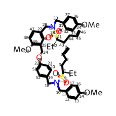 C=CCC[C@@H](CC)S(=O)(=O)N(Cc1ccc(OC)cc1)Cc1ccc(OCc2cc(CN(Cc3ccc(OC)cc3)S(=O)(=O)[C@@H](CC)CCC=C)ccc2OC)cc1